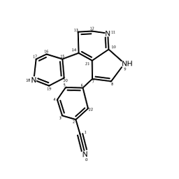 N#Cc1cccc(-c2c[nH]c3nccc(-c4ccncc4)c23)c1